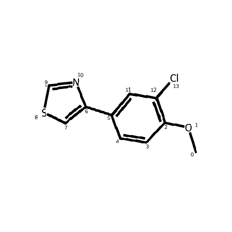 COc1ccc(-c2cs[c]n2)cc1Cl